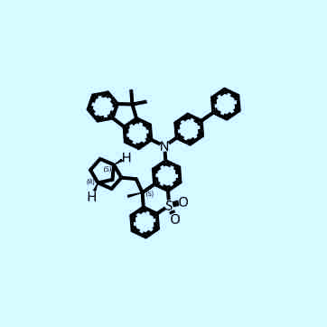 CC1(C)c2ccccc2-c2ccc(N(c3ccc(-c4ccccc4)cc3)c3ccc4c(c3)[C@@](C)(CC3C[C@@H]5CC[C@H]3C5)c3ccccc3S4(=O)=O)cc21